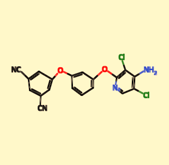 N#Cc1cc(C#N)cc(Oc2cccc(Oc3ncc(Cl)c(N)c3Cl)c2)c1